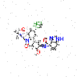 COc1cc(C(=O)N(C)c2ccccc2C2=NC(C)(C)CO2)ccc1NC(=O)c1cccc2[nH]c(C)nc12.Cl.Cl